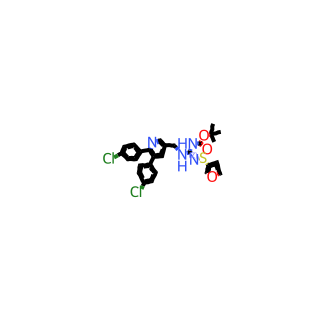 CC(C)(C)OC(=O)N/C(=N\Sc1ccoc1)NCc1cnc(-c2ccc(Cl)cc2)c(-c2ccc(Cl)cc2)c1